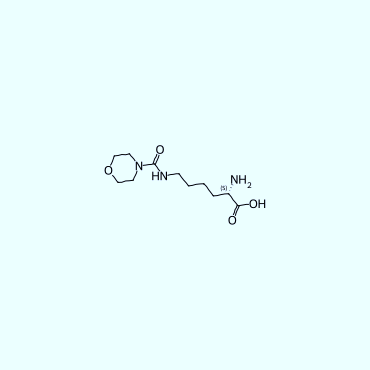 N[C@@H](CCCCNC(=O)N1CCOCC1)C(=O)O